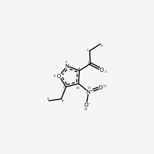 CCC(=O)c1noc(CC)c1[N+](=O)[O-]